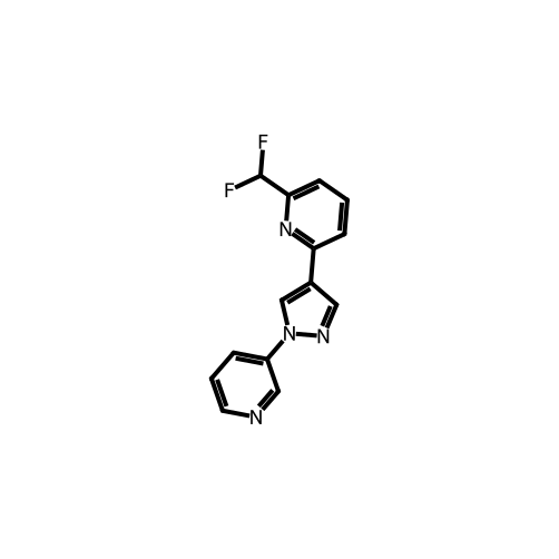 FC(F)c1cccc(-c2cnn(-c3cccnc3)c2)n1